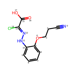 N#CCCOc1ccccc1NN=C(Cl)C(=O)O